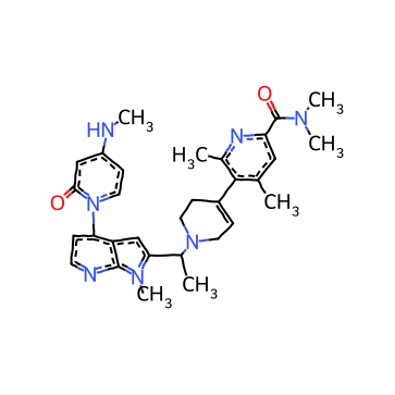 CNc1ccn(-c2ccnc3c2cc(C(C)N2CC=C(c4c(C)cc(C(=O)N(C)C)nc4C)CC2)n3C)c(=O)c1